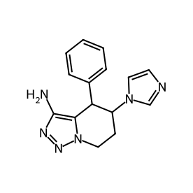 Nc1nnn2c1C(c1ccccc1)C(n1ccnc1)CC2